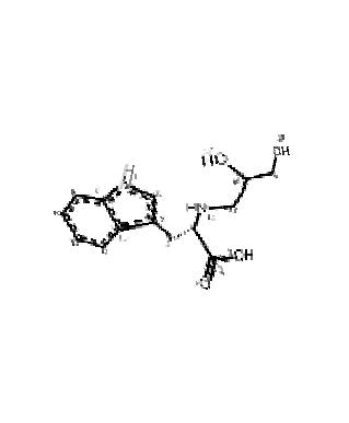 O=C(O)[C@H](Cc1c[nH]c2ccccc12)NCC(O)CO